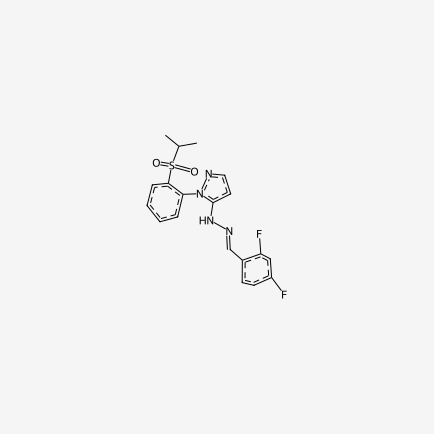 CC(C)S(=O)(=O)c1ccccc1-n1nccc1NN=Cc1ccc(F)cc1F